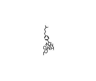 CCOC(=O)NC1=NCC(c2ccc(CCCC(C)C)cc2)N1C